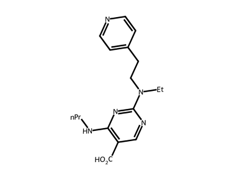 CCCNc1nc(N(CC)CCc2ccncc2)ncc1C(=O)O